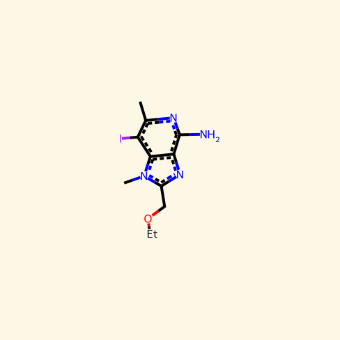 CCOCc1nc2c(N)nc(C)c(I)c2n1C